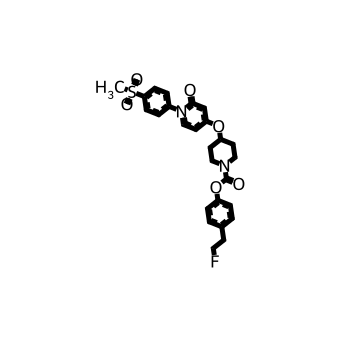 CS(=O)(=O)c1ccc(-n2ccc(OC3CCN(C(=O)Oc4ccc(CCF)cc4)CC3)cc2=O)cc1